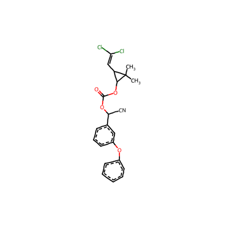 CC1(C)C(C=C(Cl)Cl)C1OC(=O)OC(C#N)c1cccc(Oc2ccccc2)c1